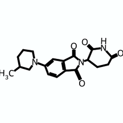 CC1CCCN(c2ccc3c(c2)C(=O)N(C2CCC(=O)NC2=O)C3=O)C1